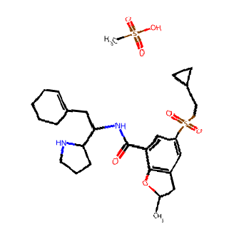 CC1Cc2cc(S(=O)(=O)CC3CC3)cc(C(=O)NC(CC3=CCCCC3)C3CCCN3)c2O1.CS(=O)(=O)O